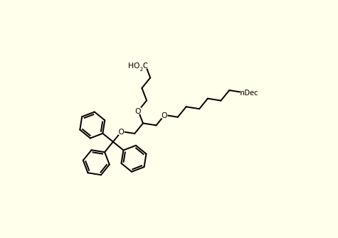 CCCCCCCCCCCCCCCCOCC(COC(c1ccccc1)(c1ccccc1)c1ccccc1)OCCCC(=O)O